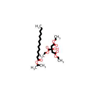 CCCCCCCCCCCCCC(=O)OC(C)C.CCOC(=O)CC(O)(CC(=O)OCC)C(=O)OCC